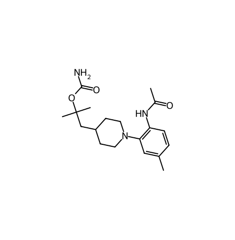 CC(=O)Nc1ccc(C)cc1N1CCC(CC(C)(C)OC(N)=O)CC1